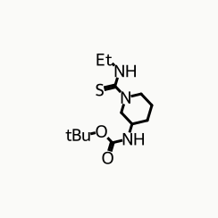 CCNC(=S)N1CCCC(NC(=O)OC(C)(C)C)C1